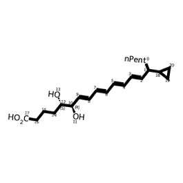 CCCCCC(C=CC=CC=CC=C[C@@H](O)[C@@H](O)CCCC(=O)O)C1CC1